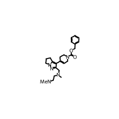 CNCCN(C)Cc1nn2c(c1C1=CCN(C(=O)OCc3ccccc3)CC1)CCC2